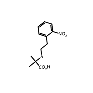 CC(C)(SCCc1ccccc1[N+](=O)[O-])C(=O)O